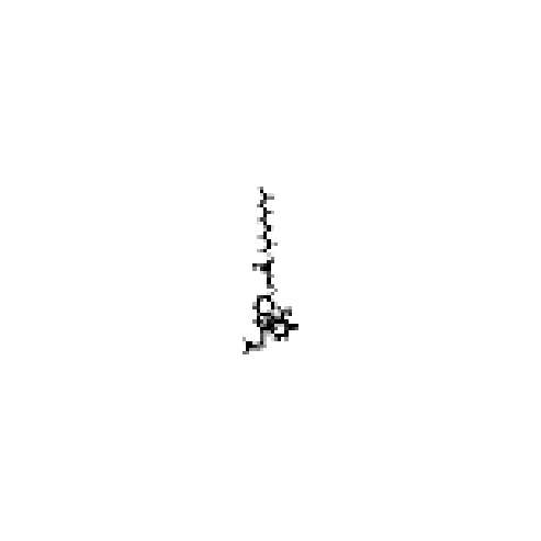 C=C1CC[C@@]2(O)C3CC4C=CC(OCOC(=O)OCCCCCCCCC)=C5O[C@@H]1[C@]2(CCN3CC1CC1)C54